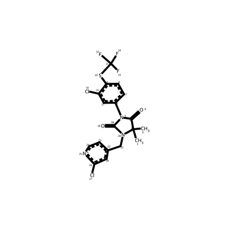 CC1(C)C(=O)N(c2ccc(SC(F)(F)F)c(Cl)c2)C(=O)N1Cc1ccnc(Cl)c1